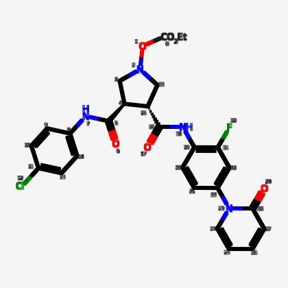 CCOC(=O)ON1C[C@H](C(=O)Nc2ccc(Cl)cc2)[C@@H](C(=O)Nc2ccc(-n3ccccc3=O)cc2F)C1